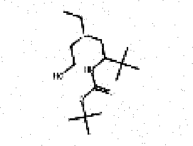 CCN(CCO)CC(NC(=O)OC(C)(C)C)C(C)(C)C